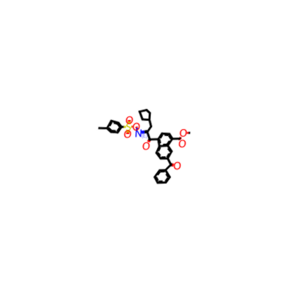 COC(=O)c1ccc(C(=O)/C(CC2CCCC2)=N/OS(=O)(=O)c2ccc(C)cc2)c2ccc(C(=O)c3ccccc3)cc12